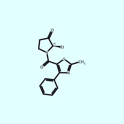 CC[C@@H]1C(=O)CCN1C(=O)c1sc(C)nc1-c1ccccc1